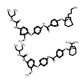 CCC(CC)NC(=O)Nc1ccc(Oc2ccc(NC(=O)c3ccc(OC45CCCC(CC4)N5C(C)C)cc3)cc2)c(OC)c1.CCC(CC)NC(=O)Nc1ccc(Oc2ccc(NC(=O)c3ccc(OC45CCCC(CC4)N5CCCO)cc3)cc2)c(OC)c1